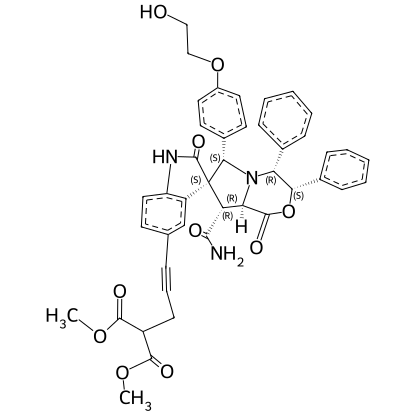 COC(=O)C(CC#Cc1ccc2c(c1)[C@]1(C(=O)N2)[C@H](c2ccc(OCCO)cc2)N2[C@H](c3ccccc3)[C@H](c3ccccc3)OC(=O)[C@H]2[C@@H]1C(N)=O)C(=O)OC